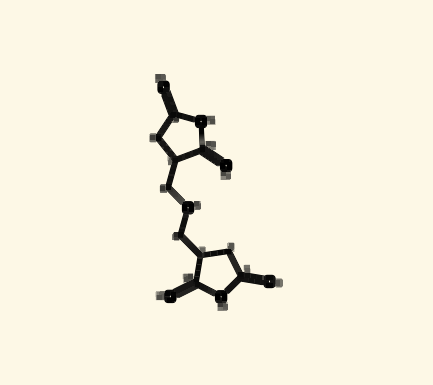 O=C1CC(COCC2CC(=O)OC2=O)C(=O)O1